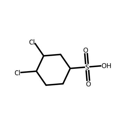 O=S(=O)(O)C1CCC(Cl)C(Cl)C1